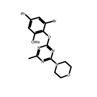 COc1cc(C(C)C)cc(Br)c1Oc1nc(C)nc(N2CCOCC2)n1